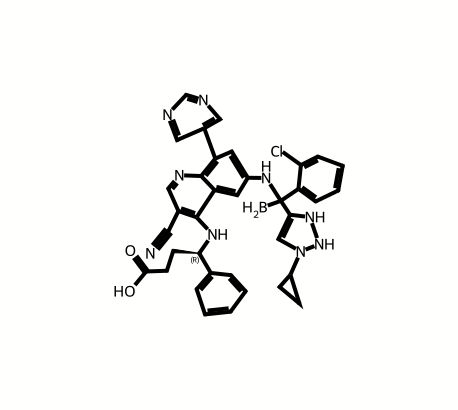 BC(Nc1cc(-c2cncnc2)c2ncc(C#N)c(N[C@H](CCC(=O)O)c3ccccc3)c2c1)(C1=CN(C2CC2)NN1)c1ccccc1Cl